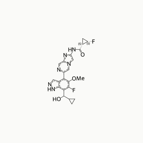 COc1c(F)c(C(O)C2CC2)c2[nH]ncc2c1-c1cn2cc(NC(=O)[C@@H]3C[C@@H]3F)nc2cn1